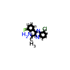 CC(N)c1nc2cccc(Cl)c2nc1-c1cccc(F)c1